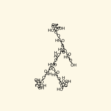 C=CC1C(CO)OC(OCCOCCNC(=O)CCOCC(COCCC(=O)NCCOCCO)NC(=O)CCOCC(COCCC(=O)NC(COCCC(=O)NCCOCCOC2OC(CO)C(C=C)C(OO)C2O)COCCC(=O)NCCOCCOC2OC(CO)C(C=C)C(OO)C2O)NC)C(O)C1OO